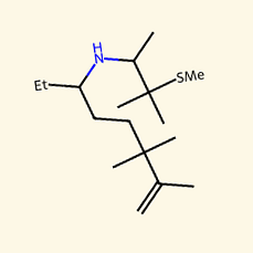 C=C(C)C(C)(C)CCC(CC)NC(C)C(C)(C)SC